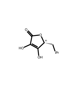 CC(C)C[C@H]1OC(=O)C(O)=C1O